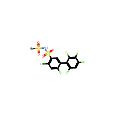 CCS(=O)(=O)NS(=O)(=O)c1cc(-c2c(F)cc(F)c(F)c2F)c(F)cc1Cl